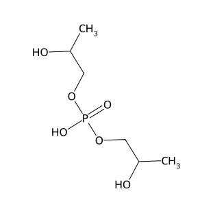 CC(O)COP(=O)(O)OCC(C)O